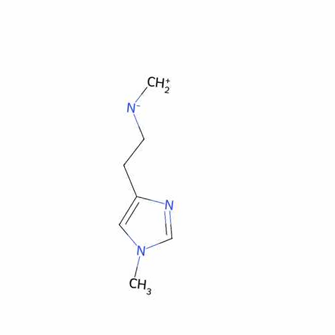 [CH2+][N-]CCc1cn(C)cn1